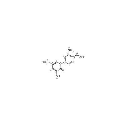 CC(C)Oc1ccc(-c2cc(C(=O)O)nc(S)n2)cc1[N+](=O)[O-]